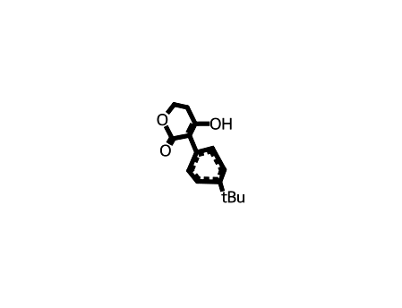 CC(C)(C)c1ccc(C2=C(O)CCOC2=O)cc1